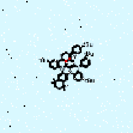 CC(C)c1cc2c3c(c1)N(c1ccc(C(C)(C)C)cc1-c1ccc(-c4ccc(C(C)(C)C)cc4)cc1)c1cc4c(cc1B3c1ccc(C(C)(C)C)cc1N2c1cccc(C(C)(C)C)c1)C(C)(C)CCC4(C)C